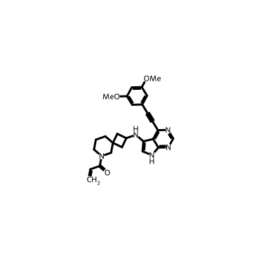 C=CC(=O)N1CCCC2(CC(Nc3c[nH]c4ncnc(C#Cc5cc(OC)cc(OC)c5)c34)C2)C1